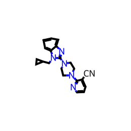 N#Cc1cccnc1N1CCN(c2nc3ccccc3n2CC2CC2)CC1